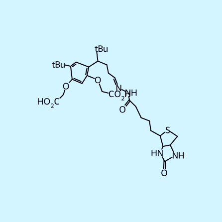 CC(C)(C)c1cc(C(CC/C=N/NC(=O)CCCCC2SCC3NC(=O)NC32)C(C)(C)C)c(OCC(=O)O)cc1OCC(=O)O